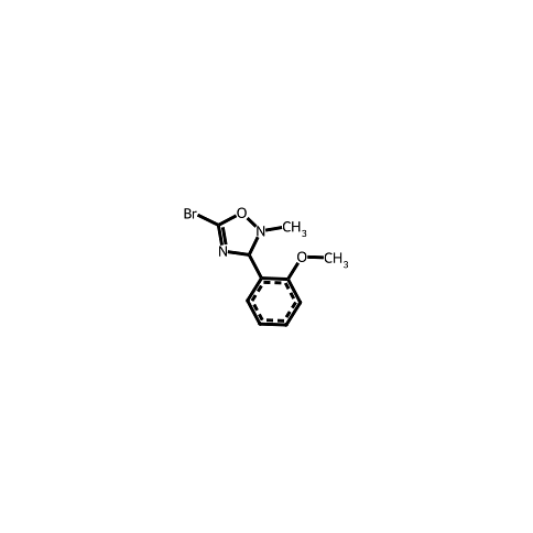 COc1ccccc1C1N=C(Br)ON1C